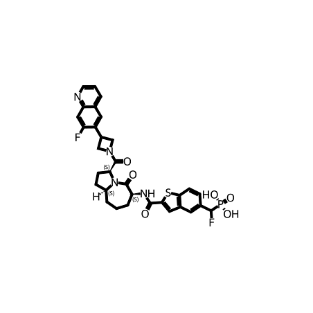 O=C(N[C@H]1CCC[C@H]2CC[C@@H](C(=O)N3CC(c4cc5cccnc5cc4F)C3)N2C1=O)c1cc2cc(C(F)P(=O)(O)O)ccc2s1